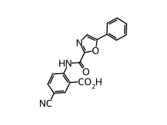 N#Cc1ccc(NC(=O)c2ncc(-c3ccccc3)o2)c(C(=O)O)c1